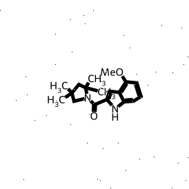 COc1cccc2[nH]c(C(=O)N3CC(C)(C)CC3(C)C)cc12